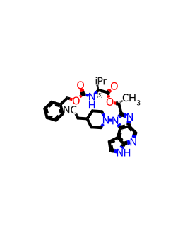 CC(C)[C@H](NC(=O)OCc1ccccc1)C(=O)O[C@H](C)c1nc2cnc3[nH]ccc3c2n1N1CCC(CC#N)CC1